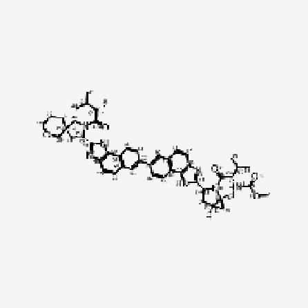 COC(=O)N[C@H](C(=O)N1[C@@H]2C[C@@H]2C[C@H]1c1nc2ccc3cc(-c4ccc5c(ccc6nc([C@@H]7C[C@@]8(CCCOC8)CN7C(=O)[C@@H](C)C(C)C)[nH]c65)c4)ccc3c2[nH]1)C(C)C